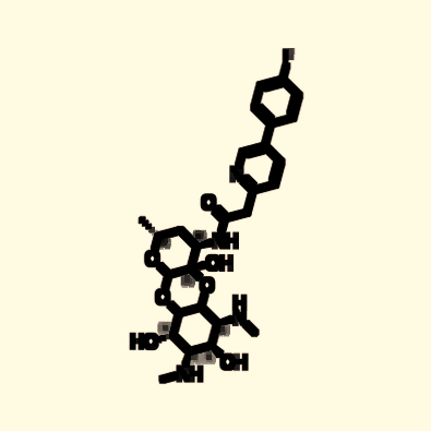 CN[C@@H]1[C@H](O)[C@H](NC)C2O[C@]3(O)C(OC2[C@H]1O)O[C@H](C)C[C@H]3NC(=O)Cc1ccc(-c2ccc(F)cc2)cn1